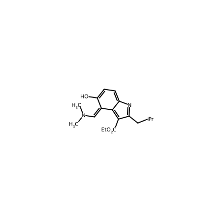 CCOC(=O)C1=c2c(ccc(O)c2=CN(C)C)N=C1CC(C)C